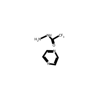 NNC(=O)C(F)(F)F.c1cnccn1